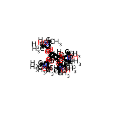 CC(C)C1CC(OC(=O)c2cc(C(=O)OC3CC(C(C)C)N(O)C(C(C)C)C3)c3cc(C(=O)OC4CC(C(C)C)N(O)C(C(C)C)C4)c(C(=O)OC4CC(C(C)C)N(O)C(C(C)C)C4)cc3c2)CC(C(C)C)N1O